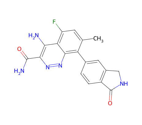 Cc1cc(F)c2c(N)c(C(N)=O)nnc2c1-c1ccc2c(c1)CNC2=O